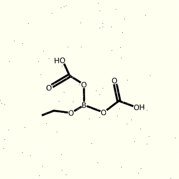 CCOB(OC(=O)O)OC(=O)O